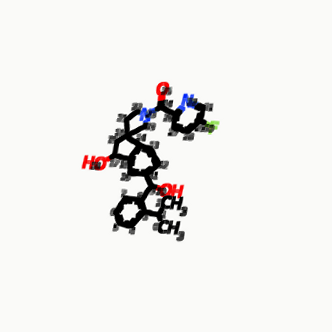 CC(C)c1ccccc1C(O)c1ccc2c(c1)C(O)CC21CCN(C(=O)c2ccc(F)cn2)C1